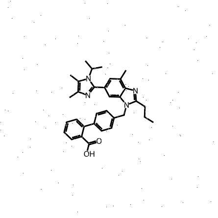 CCCc1nc2c(C)cc(-c3nc(C)c(C)n3C(C)C)cc2n1Cc1ccc(-c2ccccc2C(=O)O)cc1